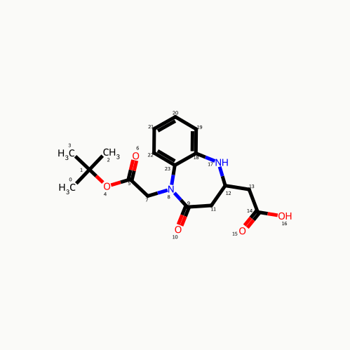 CC(C)(C)OC(=O)CN1C(=O)CC(CC(=O)O)Nc2ccccc21